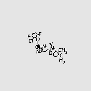 Cc1cccc(CN(C(=O)[C@@H](CN)Cc2cnc(OCCOc3c(F)ccc(F)c3Cl)s2)C2CC2)c1C